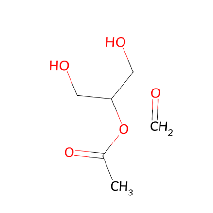 C=O.CC(=O)OC(CO)CO